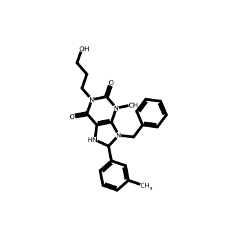 Cc1cccc(C2Nc3c(n(C)c(=O)n(CCCO)c3=O)N2Cc2ccccc2)c1